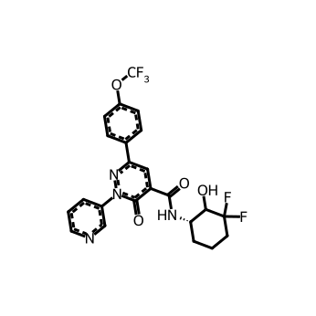 O=C(N[C@H]1CCCC(F)(F)C1O)c1cc(-c2ccc(OC(F)(F)F)cc2)nn(-c2cccnc2)c1=O